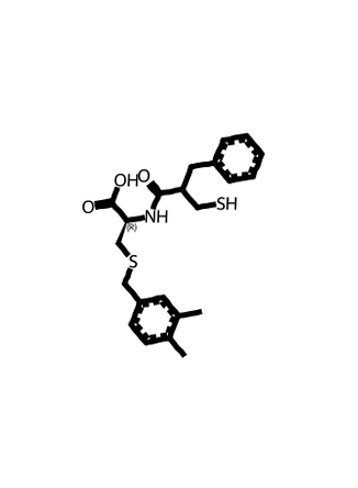 Cc1ccc(CSC[C@H](NC(=O)C(CS)Cc2ccccc2)C(=O)O)cc1C